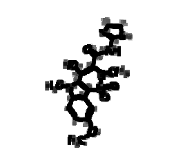 COc1ccc2c(c1)c1c(n2C)C(O)=C(C(=O)Nc2nccs2)N(C)S1(=O)=O